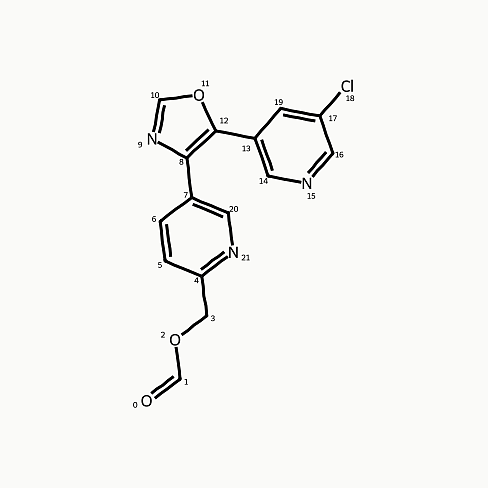 O=COCc1ccc(-c2ncoc2-c2cncc(Cl)c2)cn1